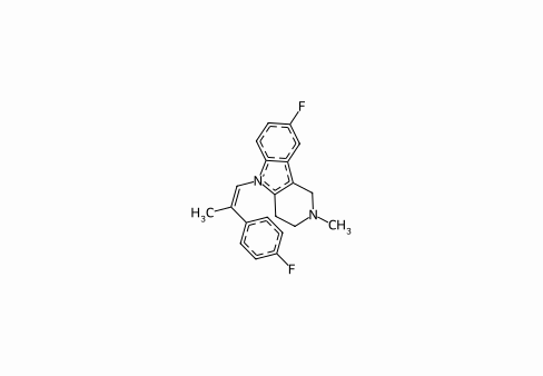 C/C(=C/n1c2c(c3cc(F)ccc31)CN(C)CC2)c1ccc(F)cc1